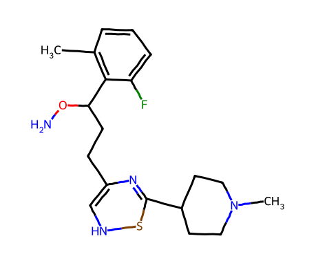 Cc1cccc(F)c1C(CCC1=CNSC(C2CCN(C)CC2)=N1)ON